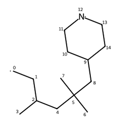 [CH2]CC(C)CC(C)(C)CC1CC[N]CC1